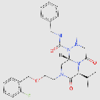 CC(C)[C@H]1C(=O)N(CCOCc2ccccc2F)C[C@H]2N1C(=O)CN(C)N2C(=O)NCc1ccccc1